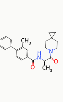 Cc1cc(C(=O)N[C@H](C)C(=O)N2CCC3(CC2)CC3)ccc1-c1ccccc1